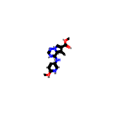 COC(=O)c1cn2ncnc(Nc3ccc(OC)nc3)c2c1C